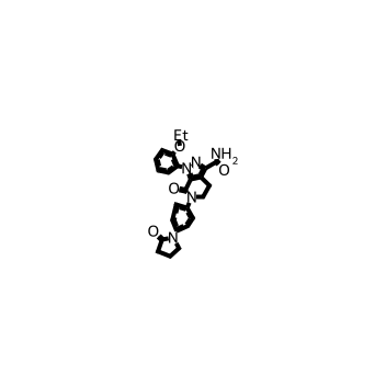 CCOc1ccccc1-n1nc(C(N)=O)c2c1C(=O)N(c1ccc(N3CCCC3=O)cc1)CC2